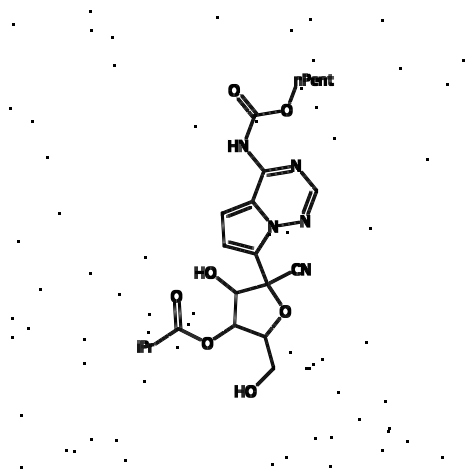 CCCCCOC(=O)Nc1ncnn2c(C3(C#N)OC(CO)C(OC(=O)C(C)C)C3O)ccc12